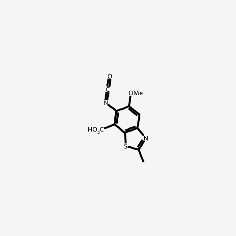 COc1cc2nc(C)sc2c(C(=O)O)c1N=C=O